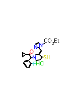 CCOC(=O)Cn1ccnc1C=C1CN(C(C(=O)C2CC2)c2ccccc2F)CCC1S.Cl